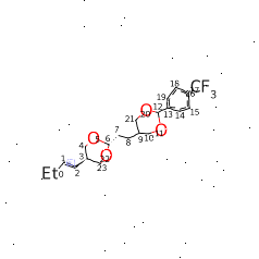 CC/C=C/[C@H]1CO[C@H](CCC2COC(c3ccc(C(F)(F)F)cc3)OC2)OC1